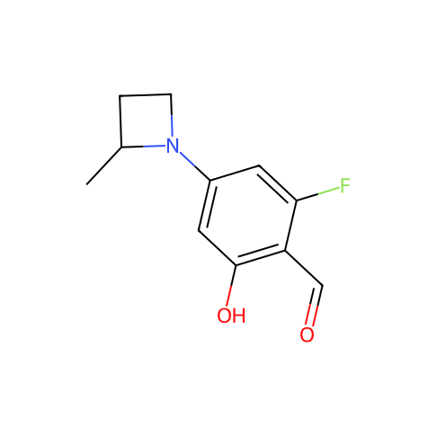 CC1CCN1c1cc(O)c(C=O)c(F)c1